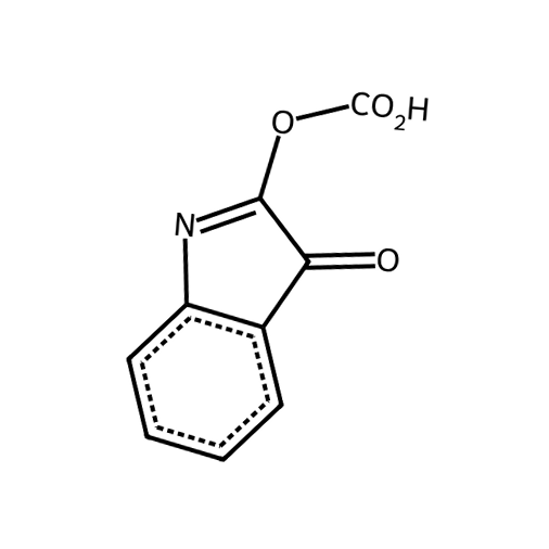 O=C(O)OC1=Nc2ccccc2C1=O